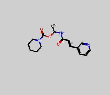 CCCC(NC(=O)/C=C/c1cccnc1)OC(=O)N1CCCCC1